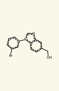 OCc1ccc2c(c1)ncn2-c1cccc(Br)c1